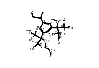 CCC(C)c1cc(C(OC)(C(F)(F)F)C(F)(F)F)cc(C(OCOC)(C(F)(F)F)C(F)(F)F)c1